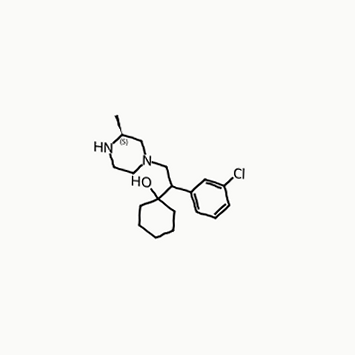 C[C@H]1CN(CC(c2cccc(Cl)c2)C2(O)CCCCC2)CCN1